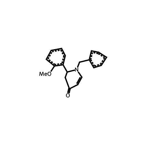 COc1ccccc1C1CC(=O)C=CN1Cc1ccccc1